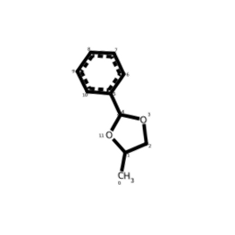 CC1CO[C](c2ccccc2)O1